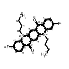 CCCCn1c2cc(F)ccc2c(=O)c2cc3c(cc21)c(=O)c1ccc(F)cc1n3CCCC